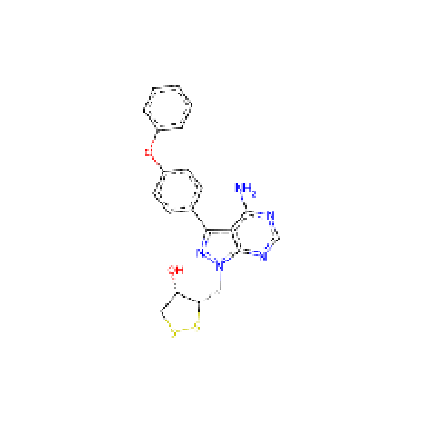 Nc1ncnc2c1c(-c1ccc(Oc3ccccc3)cc1)nn2C[C@@H]1SSC[C@@H]1O